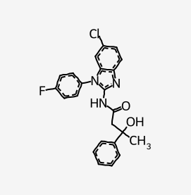 CC(O)(CC(=O)Nc1nc2ccc(Cl)cc2n1-c1ccc(F)cc1)c1ccccc1